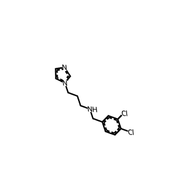 Clc1ccc(CNCCCn2ccnc2)cc1Cl